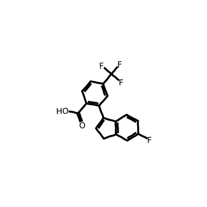 O=C(O)c1ccc(C(F)(F)F)cc1C1=CCc2cc(F)ccc21